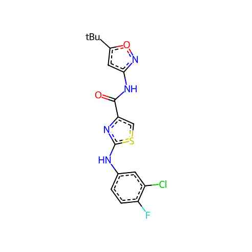 CC(C)(C)c1cc(NC(=O)c2csc(Nc3ccc(F)c(Cl)c3)n2)no1